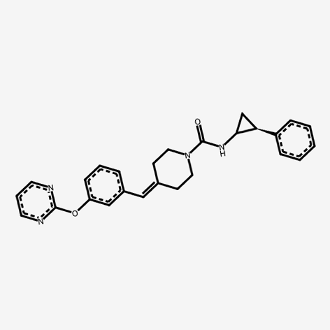 O=C(NC1C[C@H]1c1ccccc1)N1CCC(=Cc2cccc(Oc3ncccn3)c2)CC1